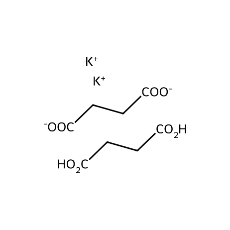 O=C(O)CCC(=O)O.O=C([O-])CCC(=O)[O-].[K+].[K+]